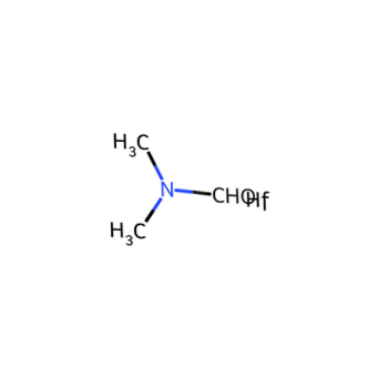 CN(C)C=O.[Hf]